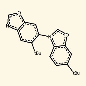 CC(C)(C)c1ccc2c(c1)oc[n+]2-c1cc2ocnc2cc1C(C)(C)C